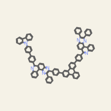 c1ccc(-c2nc3ccc4c(-c5ccc(-c6ccc7c(c6)c6ccccc6c6ccc(-c8ccc(-c9nc%10ccc%11c(-c%12ccc(-c%13ccc(-n%14c%15ccccc%15c%15ccccc%15%14)cc%13)cc%12)nc%12ccccc%12c%11c%10nc9-c9ccccc9)cc8)cc67)cc5)nc5ccccc5c4c3nc2-c2ccccc2)cc1